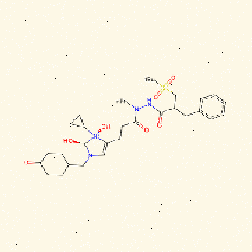 CCCN(NC(=O)C(Cc1ccccc1)CS(=O)(=O)C(C)(C)C)C(=O)CCC1=CN(CC2CCC(=O)CC2)[C@@H](O)[N@+]1(O)C1CC1